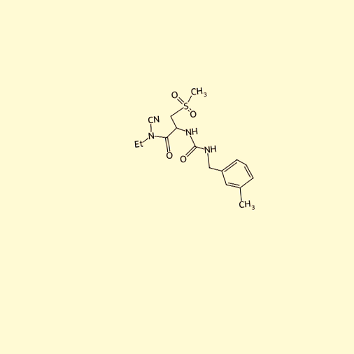 CCN(C#N)C(=O)C(CS(C)(=O)=O)NC(=O)NCc1cccc(C)c1